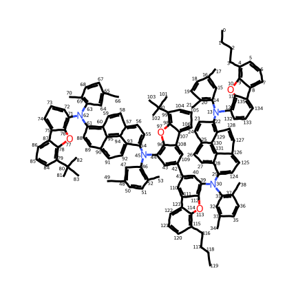 CCCCc1cccc2c1oc1c(N(c3cc(C)ccc3C)c3ccc4ccc5c(N(c6cc(C)ccc6C)c6cc(-c7cc(N(c8cc(C)ccc8C)c8ccc9ccc%10c(N(c%11cc(C)ccc%11C)c%11cccc%12c%11oc%11c(C(C)(C)C)cccc%11%12)ccc%11ccc8c9c%11%10)c8oc9c(C(C)(C)C)cccc9c8c7)cc7c6oc6c(CCCC)cccc67)ccc6ccc3c4c65)cccc12